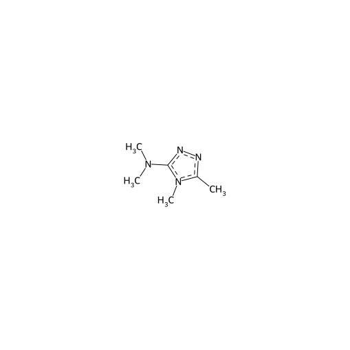 Cc1nnc(N(C)C)n1C